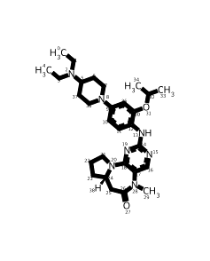 CCN(CC)C1CCN(c2ccc(Nc3ncc4c(n3)N3CCC[C@H]3CC(=O)N4C)c(OC(C)C)c2)CC1